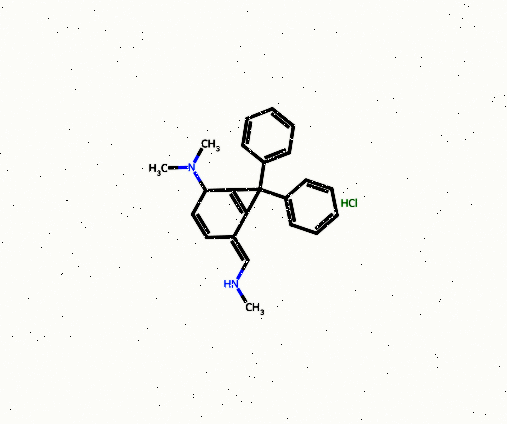 CNC=C1C=CC(N(C)C)C2=C1C2(c1ccccc1)c1ccccc1.Cl